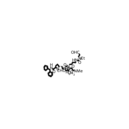 CCN(CCC=O)C(=O)NCCCCNC(=O)N(CC[C@H]1CCC(C(=O)NC(c2ccccc2)c2ccccc2)N1C=O)CC(C)NC(=O)C(C)NC